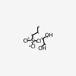 CCC[Si](Cl)(Cl)Cl.OCCO